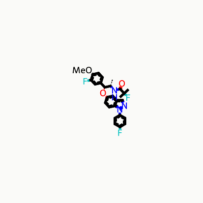 COc1ccc([C@@H](Oc2ccc3c(cnn3-c3ccc(F)cc3)c2)[C@H](C)NC(=O)C(C)(C)F)cc1F